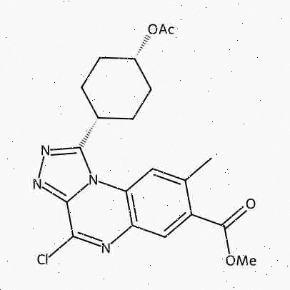 COC(=O)c1cc2nc(Cl)c3nnc([C@H]4CC[C@@H](OC(C)=O)CC4)n3c2cc1C